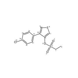 CCS(=O)(=O)Oc1csnc1-c1ccc(Cl)cc1